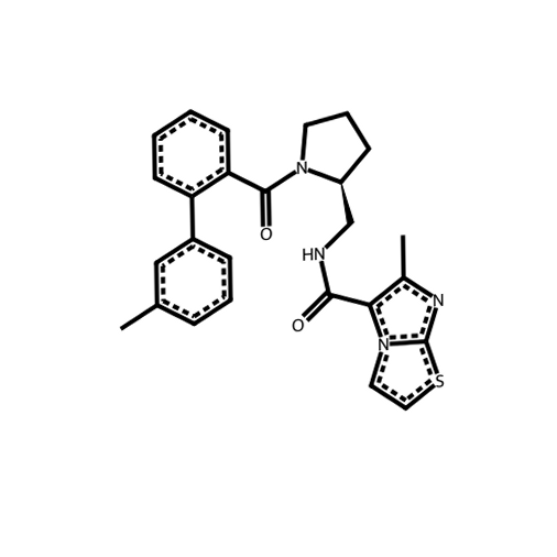 Cc1cccc(-c2ccccc2C(=O)N2CCC[C@H]2CNC(=O)c2c(C)nc3sccn23)c1